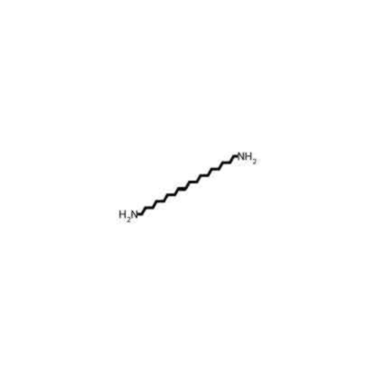 NCCCCCCCC=CCCCCCCCCCN